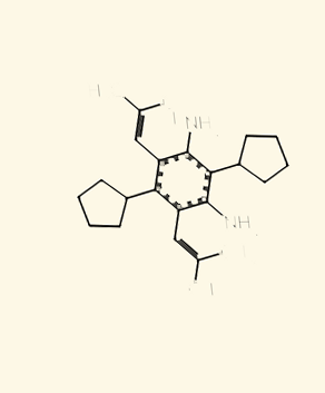 CC(C)=Cc1c(N)c(C2CCCC2)c(N)c(C=C(C)C)c1C1CCCC1